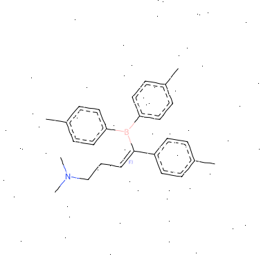 Cc1ccc(B(/C(=C\CCN(C)C)c2ccc(C)cc2)c2ccc(C)cc2)cc1